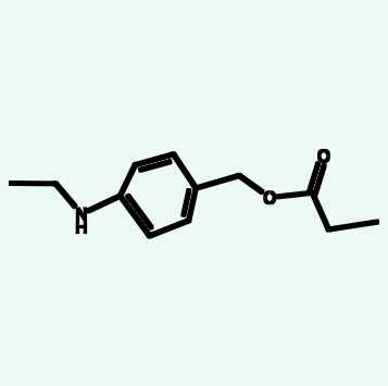 CCNc1ccc(COC(=O)CC)cc1